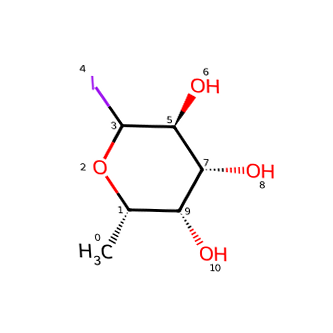 C[C@@H]1OC(I)[C@@H](O)[C@H](O)[C@@H]1O